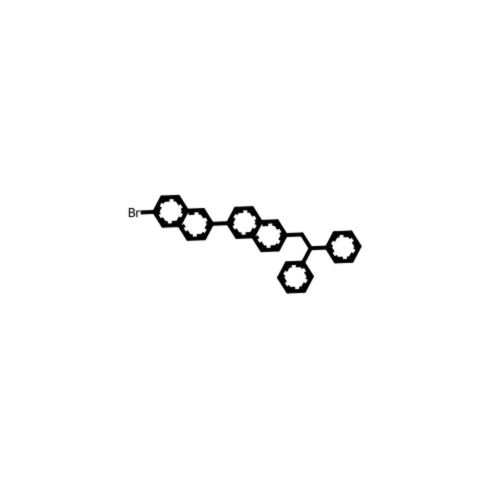 Brc1ccc2cc(-c3ccc4cc(CC(c5ccccc5)c5ccccc5)ccc4c3)ccc2c1